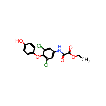 CCOC(=O)C(=O)Nc1cc(Cl)c(Oc2ccc(O)cc2)c(Cl)c1